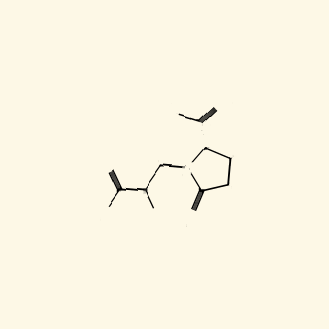 CC(=O)C(O)CN1C(=O)CC[C@H]1C(=O)O